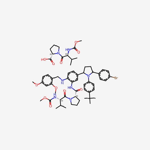 COC(=O)N[C@H](C(=O)N1CCC[C@H]1C(=O)Nc1cc(C2CCC(c3ccc(Br)cc3)N2c2ccc(C(C)(C)C)cc2)ccc1NCc1ccc(OC)cc1OC)C(C)C.COC(=O)N[C@H](C(=O)N1CCC[C@H]1C(=O)O)C(C)C